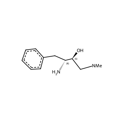 CNC[C@H](O)[C@H](N)Cc1ccccc1